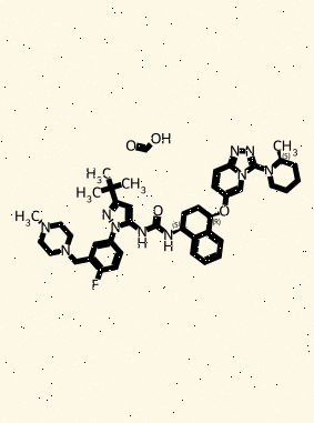 C[C@H]1CCCCN1c1nnc2ccc(O[C@@H]3CC[C@H](NC(=O)Nc4cc(C(C)(C)C)nn4-c4ccc(F)c(CN5CCN(C)CC5)c4)c4ccccc43)cn12.O=CO